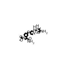 COC(=O)n1cc(C(N)=O)c2cc(Oc3ccnc(NC(=O)N[C@@H](C)C(N)=O)c3)ccc21